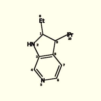 CCC1Nc2cnccc2C1C(C)C